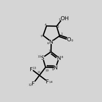 O=C1C(O)CCN1c1nnc(C(F)(F)F)s1